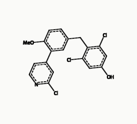 COc1ccc(Cc2c(Cl)cc(O)cc2Cl)cc1-c1ccnc(Cl)c1